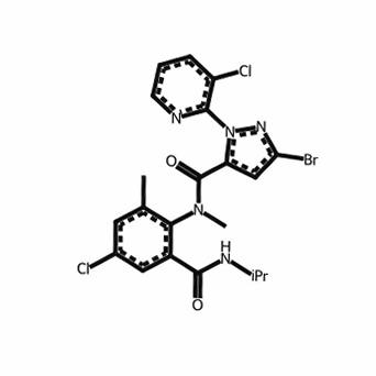 Cc1cc(Cl)cc(C(=O)NC(C)C)c1N(C)C(=O)c1cc(Br)nn1-c1ncccc1Cl